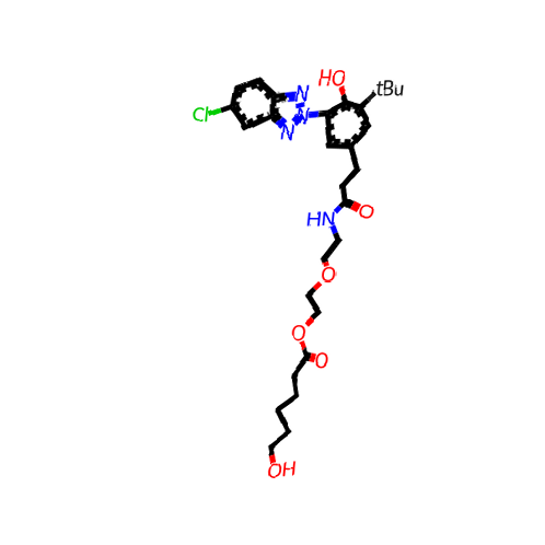 CC(C)(C)c1cc(CCC(=O)NCCOCCOC(=O)CCCCCO)cc(-n2nc3ccc(Cl)cc3n2)c1O